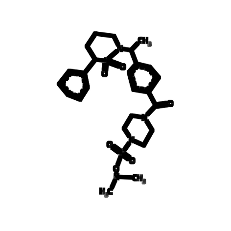 CC(c1ccc(C(=O)N2CCN(S(=O)(=O)ON(C)C)CC2)cc1)N1CCCC(c2ccccc2)S1(=O)=O